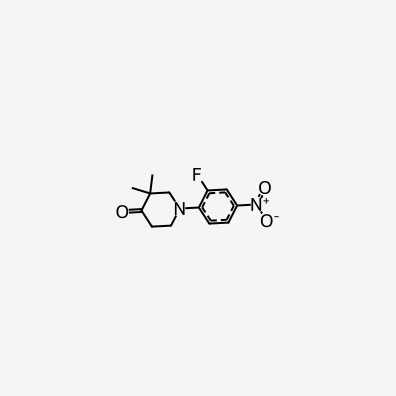 CC1(C)CN(c2ccc([N+](=O)[O-])cc2F)CCC1=O